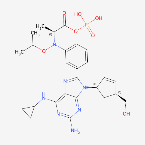 CC(C)ON(c1ccccc1)[C@@H](C)C(=O)OP(=O)(O)O.Nc1nc(NC2CC2)c2ncn([C@H]3C=C[C@@H](CO)C3)c2n1